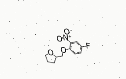 O=[N+]([O-])c1cc(F)ccc1OCC1CCCO1